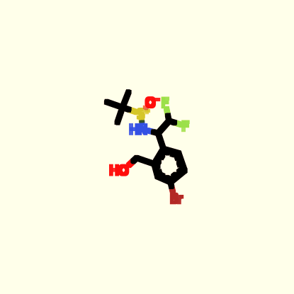 CC(C)(C)[S+]([O-])NC(c1ccc(Br)cc1CO)C(F)F